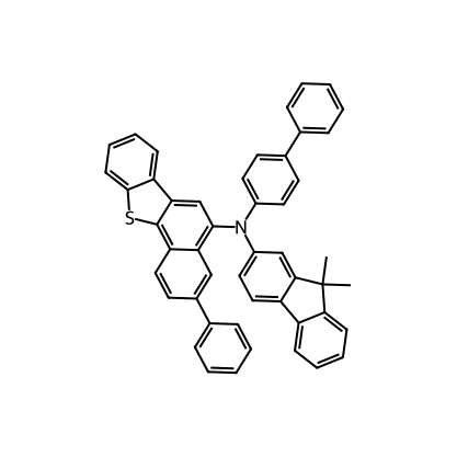 CC1(C)c2ccccc2-c2ccc(N(c3ccc(-c4ccccc4)cc3)c3cc4c5ccccc5sc4c4ccc(-c5ccccc5)cc34)cc21